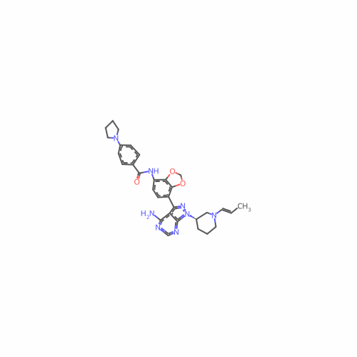 CC=CN1CCC[C@@H](n2nc(-c3ccc(NC(=O)c4ccc(N5CCCC5)cc4)c4c3OCO4)c3c(N)ncnc32)C1